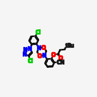 CC(C)(C)CCC(=O)Oc1c(C#N)cccc1N1CON(c2cc(Cl)ccc2-n2cc(Cl)nn2)CO1